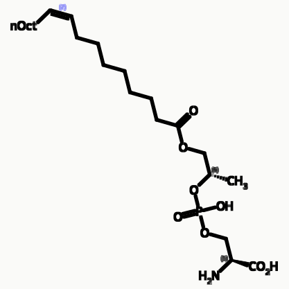 CCCCCCCC/C=C\CCCCCCCC(=O)OC[C@H](C)OP(=O)(O)OC[C@H](N)C(=O)O